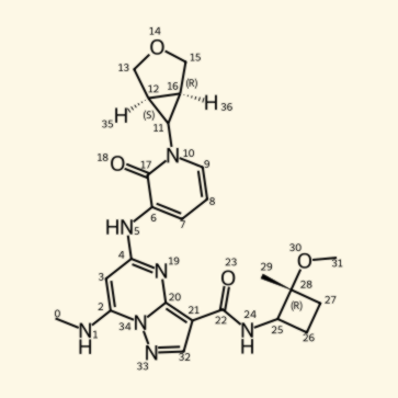 CNc1cc(Nc2cccn(C3[C@H]4COC[C@@H]34)c2=O)nc2c(C(=O)NC3CC[C@@]3(C)OC)cnn12